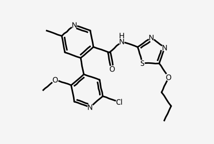 CCCOc1nnc(NC(=O)c2cnc(C)cc2-c2cc(Cl)ncc2OC)s1